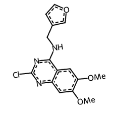 COc1cc2nc(Cl)nc(NCc3ccoc3)c2cc1OC